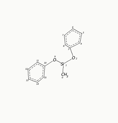 C[Si](Oc1ccccc1)Oc1ccccc1